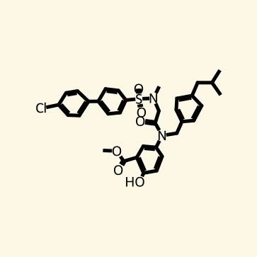 COC(=O)c1cc(N(Cc2ccc(CC(C)C)cc2)C(=O)CN(C)S(=O)(=O)c2ccc(-c3ccc(Cl)cc3)cc2)ccc1O